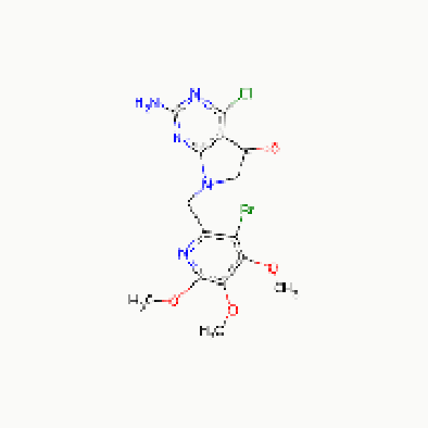 COc1nc(CN2CC(=O)c3c(Cl)nc(N)nc32)c(Br)c(OC)c1OC